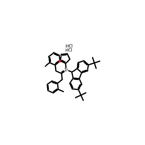 Cc1ccccc1C[C](Cc1ccccc1C)=[Zr]([C]1=CC=CC1)[CH]1c2ccc(C(C)(C)C)cc2-c2cc(C(C)(C)C)ccc21.Cl.Cl